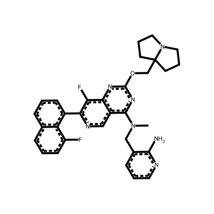 CN(Cc1cccnc1N)c1nc(OCC23CCCN2CCC3)nc2c(F)c(-c3cccc4cccc(F)c34)ncc12